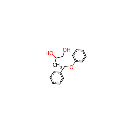 CC(O)CO.c1ccc(COc2ccccc2)cc1